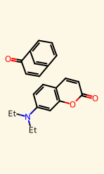 CCN(CC)c1ccc2ccc(=O)oc2c1.O=C1C=Cc2cccc1c2